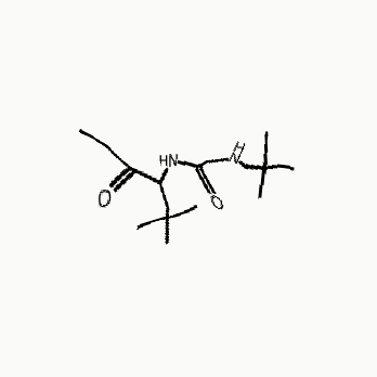 CCC(=O)C(NC(=O)NC(C)(C)C)C(C)(C)C